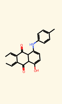 C/C=C1/C(=O)C2C(O)=CC=C(Nc3ccc(C)cc3)C2C(=O)/C1=C/C